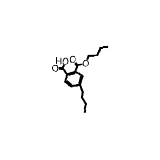 CCCCOC(=O)c1cc(CCCC)ccc1C(=O)O